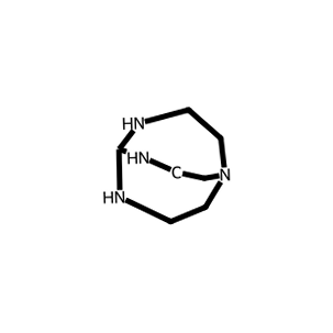 C1CN2CCNC(N1)NCC2